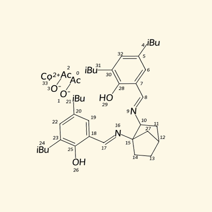 CC(=O)[O-].CC(=O)[O-].CCC(C)c1cc(C=NC2CC3CCC2(N=Cc2cc(C(C)CC)cc(C(C)CC)c2O)C3)c(O)c(C(C)CC)c1.[Co+2]